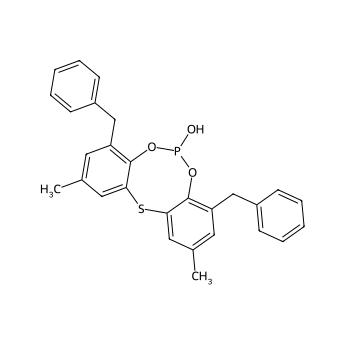 Cc1cc(Cc2ccccc2)c2c(c1)Sc1cc(C)cc(Cc3ccccc3)c1OP(O)O2